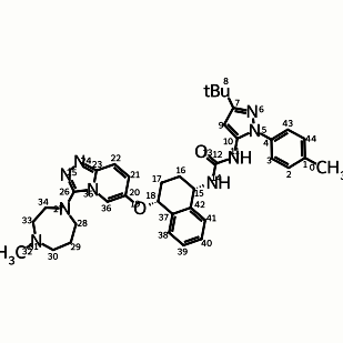 Cc1ccc(-n2nc(C(C)(C)C)cc2NC(=O)N[C@H]2CC[C@@H](Oc3ccc4nnc(N5CCCN(C)CC5)n4c3)c3ccccc32)cc1